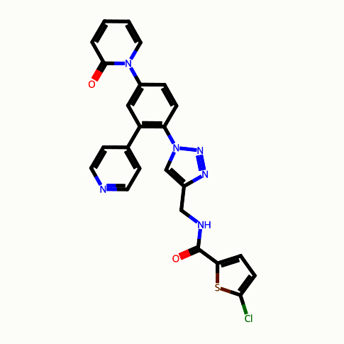 O=C(NCc1cn(-c2ccc(-n3ccccc3=O)cc2-c2ccncc2)nn1)c1ccc(Cl)s1